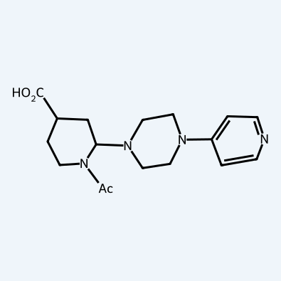 CC(=O)N1CCC(C(=O)O)CC1N1CCN(c2ccncc2)CC1